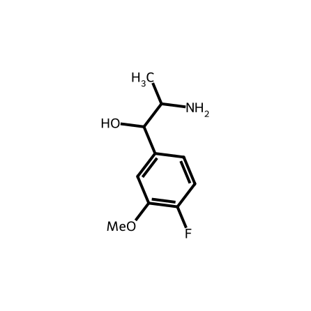 COc1cc(C(O)C(C)N)ccc1F